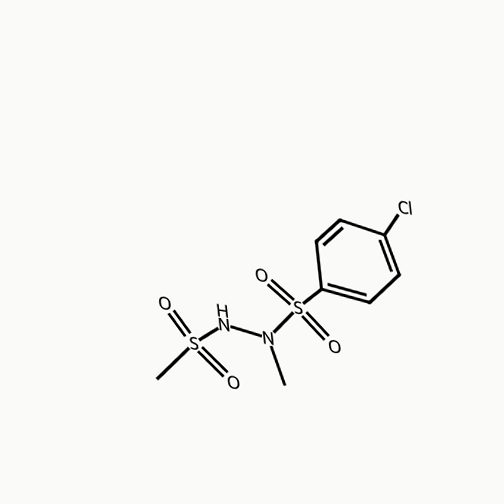 CN(NS(C)(=O)=O)S(=O)(=O)c1ccc(Cl)cc1